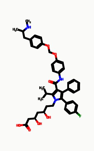 CNC(C)Cc1ccc(OCOc2ccc(NC(=O)c3c(-c4ccccc4)c(-c4ccc(F)cc4)n(CC[C@@H](O)C[C@@H](O)CC(=O)O)c3C(C)C)cc2)cc1